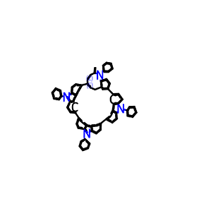 C=C1/C=C\C2=C/Cc3cc(ccc3N1c1ccccc1)-c1ccc3c(c1)c1cc(ccc1n3-c1ccccc1)-c1ccc3c(c1)c1cc(ccc1n3-c1ccccc1)-c1ccc3c(c1)c1cc2ccc1n3-c1ccccc1